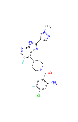 Cn1cc(-c2nc3c(C4CCN(C(=O)c5cc(F)c(Cl)cc5N)CC4)c(F)cnc3[nH]2)cn1